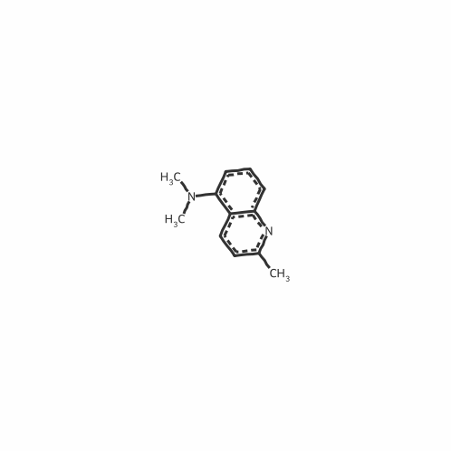 Cc1ccc2c(N(C)C)cccc2n1